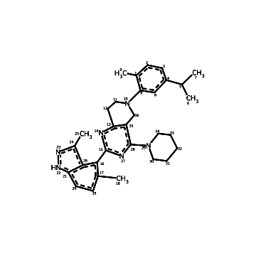 Cc1ccc(C(C)C)cc1N1CCc2nc(-c3c(C)ccc4[nH]nc(C)c34)nc(N3CCCCC3)c2C1